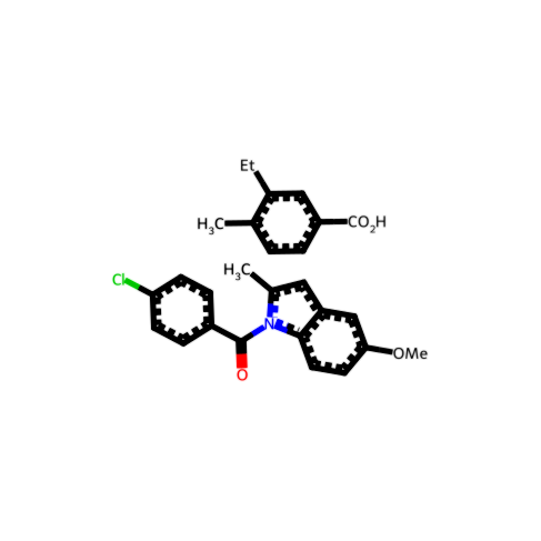 CCc1cc(C(=O)O)ccc1C.COc1ccc2c(c1)cc(C)n2C(=O)c1ccc(Cl)cc1